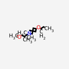 C=C(CC)OC1CC2(C1)CN(C(C)(C)C(C)COC)C2